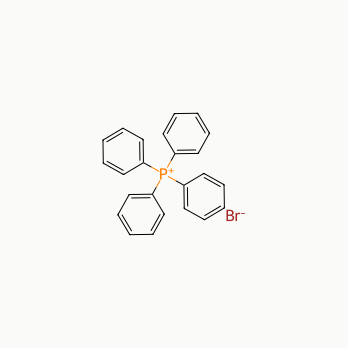 [Br-].c1ccc([P+](c2ccccc2)(c2ccccc2)c2ccccc2)cc1